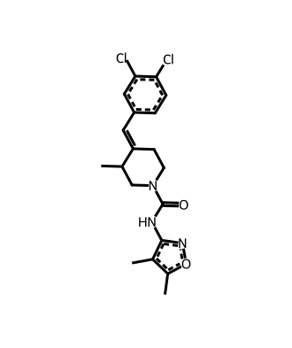 Cc1onc(NC(=O)N2CCC(=Cc3ccc(Cl)c(Cl)c3)C(C)C2)c1C